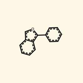 [c]1ccc(-c2occ3ccccc23)cc1